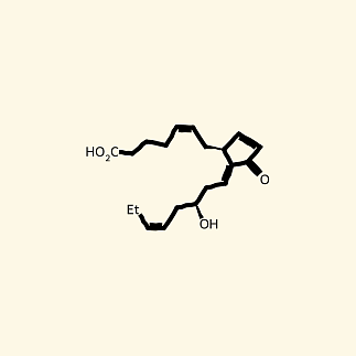 CC/C=C\C[C@H](O)C/C=C1/C(=O)C=C[C@@H]1C/C=C\CCCC(=O)O